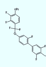 CCCc1ccc(C(F)(F)Oc2ccc(-c3cc(F)c(CF)c(F)c3)c(F)c2)c(F)c1F